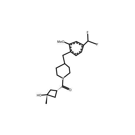 COc1cc(C(F)F)ccc1CC1CCN(C(=O)[C@H]2C[C@@](C)(O)C2)CC1